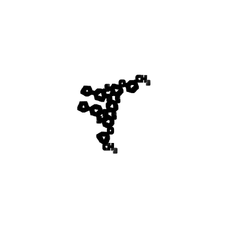 Cc1cccc(Oc2cc3c4c(c2)Sc2cc5c(cc2B4c2ccc(C4CCCC4)cc2S3)B2c3ccc(C4CCCC4)cc3Sc3cc(Oc4cccc(C)c4)cc(c32)S5)c1